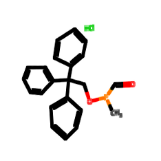 CP(C=O)OCC(c1ccccc1)(c1ccccc1)c1ccccc1.Cl